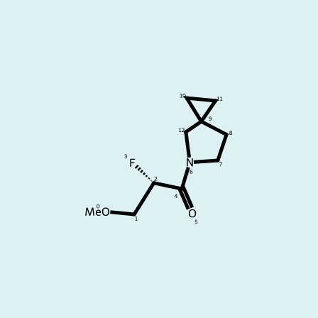 COC[C@H](F)C(=O)N1CCC2(CC2)C1